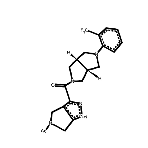 CC(=O)N1Cc2[nH]nc(C(=O)N3C[C@@H]4CN(c5ccccc5C(F)(F)F)C[C@@H]4C3)c2C1